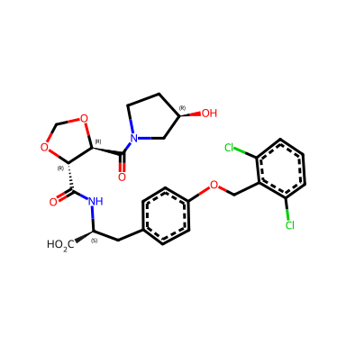 O=C(O)[C@H](Cc1ccc(OCc2c(Cl)cccc2Cl)cc1)NC(=O)[C@@H]1OCO[C@H]1C(=O)N1CC[C@@H](O)C1